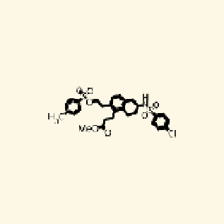 COC(=O)CCc1c(CCOS(=O)(=O)c2ccc(C)cc2)ccc2c1CCC(NS(=O)(=O)c1ccc(Cl)cc1)C2